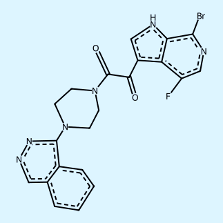 O=C(C(=O)N1CCN(c2nncc3ccccc23)CC1)c1c[nH]c2c(Br)ncc(F)c12